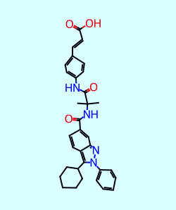 CC(C)(NC(=O)c1ccc2c(C3CCCCC3)n(-c3ccccc3)nc2c1)C(=O)Nc1ccc(C=CC(=O)O)cc1